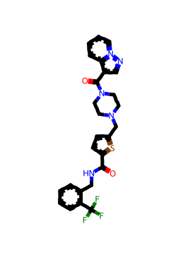 O=C(NCc1ccccc1C(F)(F)F)c1ccc(CN2CCN(C(=O)c3cnn4ccccc34)CC2)s1